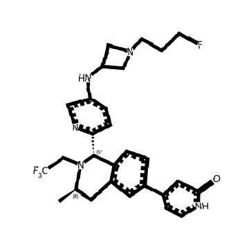 C[C@@H]1Cc2cc(-c3cc[nH]c(=O)c3)ccc2[C@@H](c2ccc(NC3CN(CCCF)C3)cn2)N1CC(F)(F)F